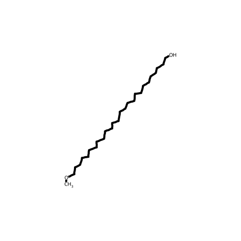 COCCCCCCCCCCCCCCCCCCCCCCCCCCO